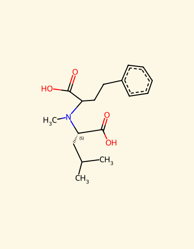 CC(C)C[C@@H](C(=O)O)N(C)C(CCc1ccccc1)C(=O)O